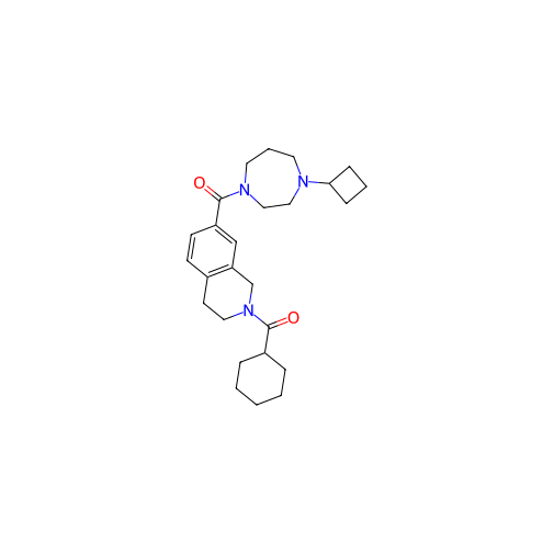 O=C(c1ccc2c(c1)CN(C(=O)C1CCCCC1)CC2)N1CCCN(C2CCC2)CC1